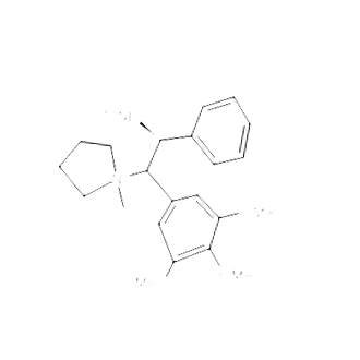 COc1cc(C([C@@H](NC(C)=O)c2ccccc2)[N+]2(C)CCCC2)cc(OC)c1OC